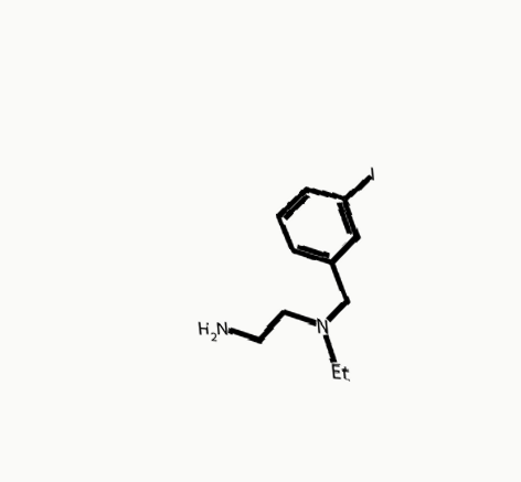 CCN(CCN)Cc1cccc(I)c1